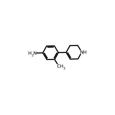 Cc1cc(N)ccc1C1=CCNCC1